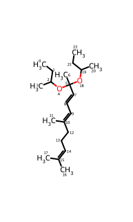 CCC(C)OC(C)(/C=C/C=C(\C)CCC=C(C)C)OC(C)CC